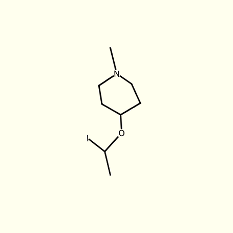 CC(I)OC1CCN(C)CC1